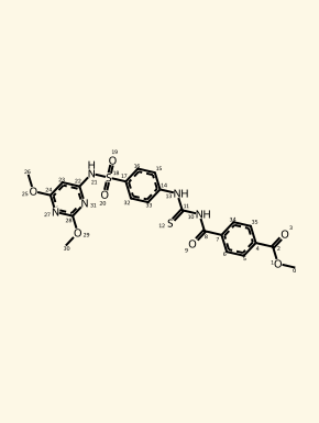 COC(=O)c1ccc(C(=O)NC(=S)Nc2ccc(S(=O)(=O)Nc3cc(OC)nc(OC)n3)cc2)cc1